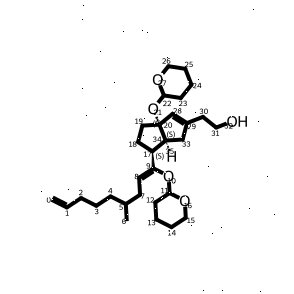 C=CCCCC(C)CC=C(OC1CCCCO1)[C@H]1CC[C@@]2(OC3CCCCO3)C=C(CCO)C[C@@H]12